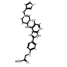 CNC(=O)COc1ccc(-c2nc3c(NC4CCN(Cc5ccsc5)CC4)c(Cl)cnc3[nH]2)cc1